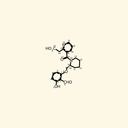 O=Cc1c(O)cccc1OC[C@@H]1CCCCN1C(=O)c1cccnc1CC(=O)O